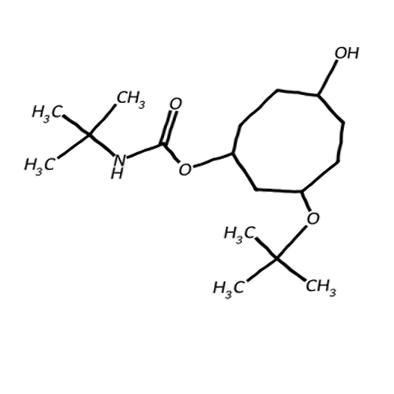 CC(C)(C)NC(=O)OC1CCC(O)CCC(OC(C)(C)C)C1